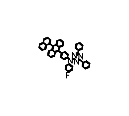 Fc1ccc(N(c2ccc(-c3c4ccccc4c(-c4cccc5ccccc45)c4ccccc34)cc2)c2nc(-c3ccccc3)nc(-c3ccccc3)n2)cc1